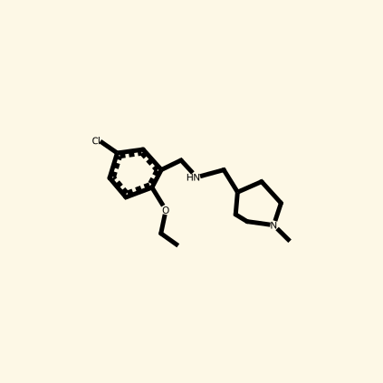 CCOc1ccc(Cl)cc1CNCC1CCN(C)CC1